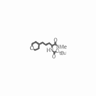 CNC(=O)C(CCCC1CCOCC1)NC(=O)OC(C)(C)C